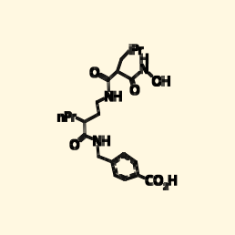 CCCC(CCNC(=O)C(CC(C)C)C(=O)NO)C(=O)NCc1ccc(C(=O)O)cc1